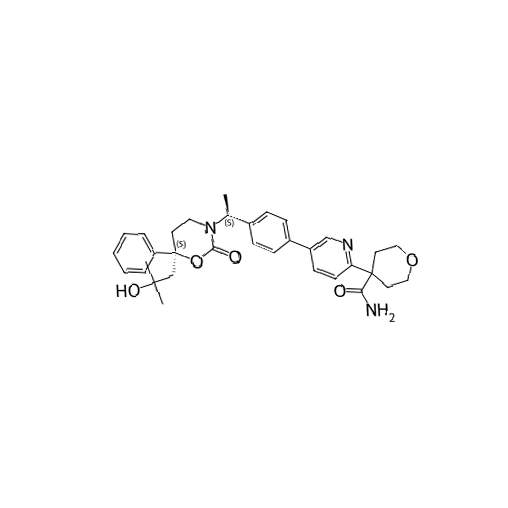 C[C@@H](c1ccc(-c2ccc(C3(C(N)=O)CCOCC3)nc2)cc1)N1CC[C@](CC(C)(C)O)(c2ccccc2)OC1=O